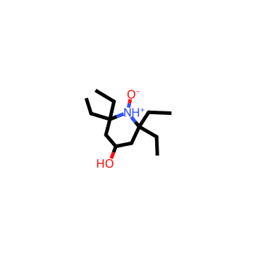 CCC1(CC)CC(O)CC(CC)(CC)[NH+]1[O-]